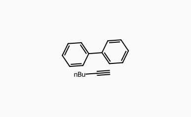 C#CCCCC.c1ccc(-c2ccccc2)cc1